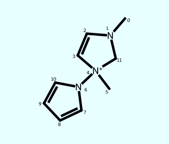 CN1C=C[N+](C)(n2cccc2)C1